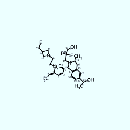 C=C(/C=C\C(=C/C)OCCN1CC(CF)C1)[C@H]1c2ccc([C@H](C)O)cc2C[C@H](C)N1CC(F)(F)CO